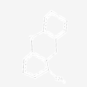 Nc1cccc2c1Cc1ccccc1O2